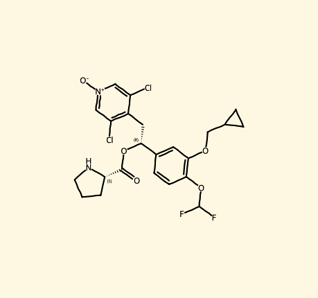 O=C(O[C@H](Cc1c(Cl)c[n+]([O-])cc1Cl)c1ccc(OC(F)F)c(OCC2CC2)c1)[C@@H]1CCCN1